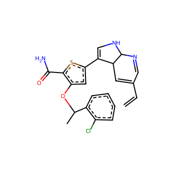 C=CC1=CC2C(c3cc(OC(C)c4ccccc4Cl)c(C(N)=O)s3)=CNC2N=C1